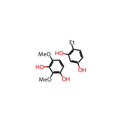 CCc1ccc(O)cc1O.COc1ccc(O)c(OC)c1O